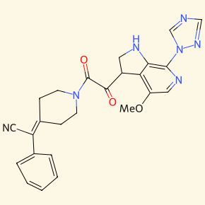 COc1cnc(-n2cncn2)c2c1C(C(=O)C(=O)N1CCC(=C(C#N)c3ccccc3)CC1)CN2